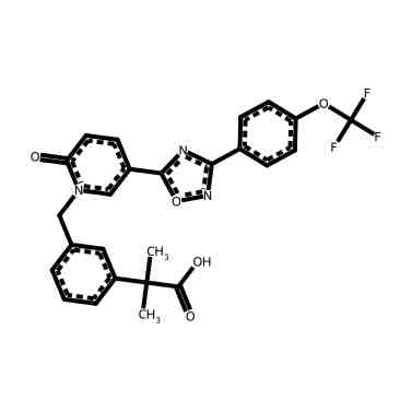 CC(C)(C(=O)O)c1cccc(Cn2cc(-c3nc(-c4ccc(OC(F)(F)F)cc4)no3)ccc2=O)c1